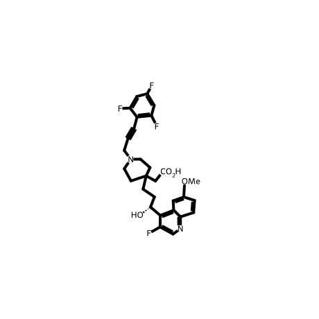 COc1ccc2ncc(F)c([C@H](O)CCC3(CC(=O)O)CCN(CC#Cc4c(F)cc(F)cc4F)CC3)c2c1